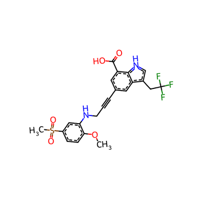 COc1ccc(S(C)(=O)=O)cc1NCC#Cc1cc(C(=O)O)c2[nH]cc(CC(F)(F)F)c2c1